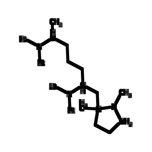 CCN(CC)[SiH](C)CCC[SiH](C[Si]1(C)CC[SiH2]N1C)N(CC)CC